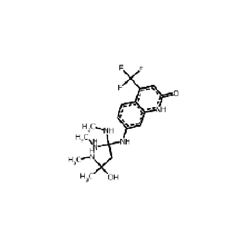 CNC(C)(O)CC(NC)(NC)Nc1ccc2c(C(F)(F)F)cc(=O)[nH]c2c1